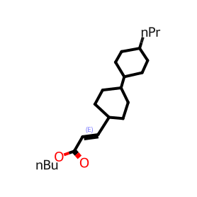 CCCCOC(=O)/C=C/C1CCC(C2CCC(CCC)CC2)CC1